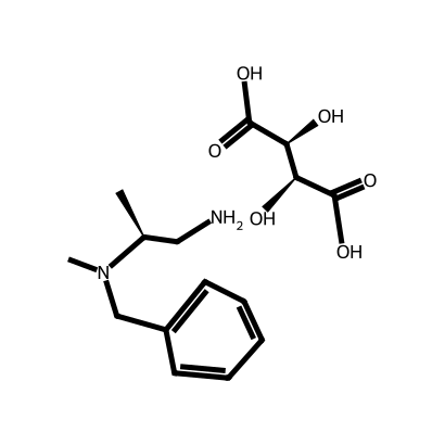 C[C@@H](CN)N(C)Cc1ccccc1.O=C(O)[C@@H](O)[C@H](O)C(=O)O